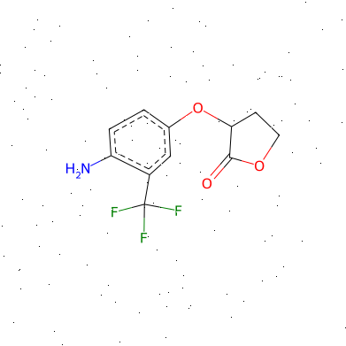 Nc1ccc(OC2CCOC2=O)cc1C(F)(F)F